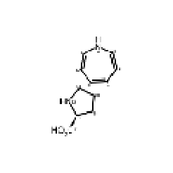 C1=CC=CNC=C1.O=C(O)[C@@H]1CCCN1